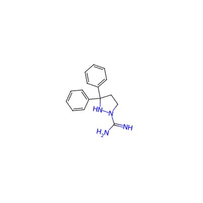 N=C(N)N1CCC(c2ccccc2)(c2ccccc2)N1